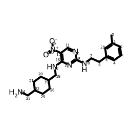 Cc1cccc(CCNc2ncc([N+](=O)[O-])c(NCC3CCC(CN)CC3)n2)c1